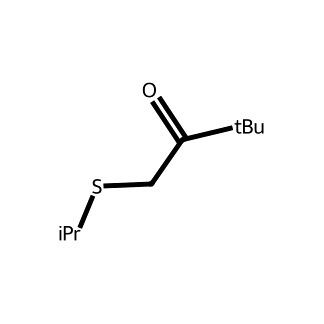 CC(C)SCC(=O)C(C)(C)C